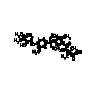 CCC(CC)(c1ccc(OCC(O)C(C)(C)C)c(C)c1)c1cc(C)c(C(=O)NC(C)(C)C(=O)O)s1